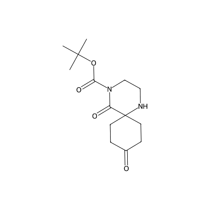 CC(C)(C)OC(=O)N1CCNC2(CCC(=O)CC2)C1=O